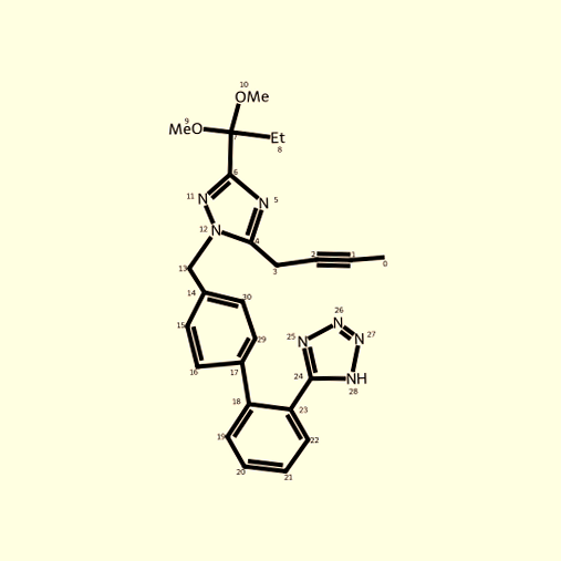 CC#CCc1nc(C(CC)(OC)OC)nn1Cc1ccc(-c2ccccc2-c2nnn[nH]2)cc1